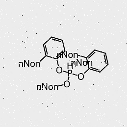 CCCCCCCCCO[PH](CCCCCCCCC)(Oc1ccccc1CCCCCCCCC)Oc1ccccc1CCCCCCCCC